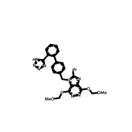 COCOc1nnc(OCOC)c2c1nc(C(C)C)n2Cc1ccc(-c2ccccc2-c2nnn[nH]2)cc1